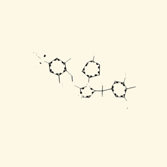 COc1cc(C(C)(C)c2cnc(SCc3c(F)cc(S(N)(=O)=O)cc3Cl)n2-c2ccc(F)cc2)cc(F)c1F